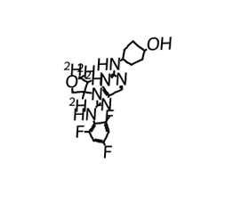 [2H]C1C([2H])([2H])OCC1([2H])n1c(Nc2c(F)cc(F)cc2F)nc2cnc(NC3CCC(O)CC3)nc21